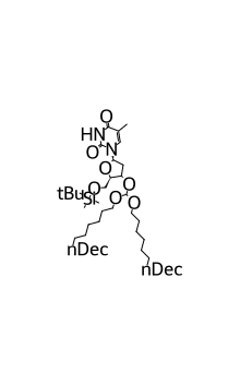 CCCCCCCCCCCCCCCCOC(OCCCCCCCCCCCCCCCC)OC1C[C@H](n2cc(C)c(=O)[nH]c2=O)O[C@@H]1CO[Si](C)(C)C(C)(C)C